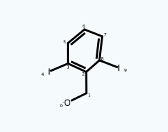 [O]Cc1c(I)cccc1I